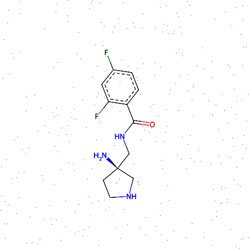 N[C@]1(CNC(=O)c2ccc(F)cc2F)CCNC1